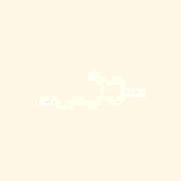 CCCCC/C=C/CC1CC(=O)OC1=O